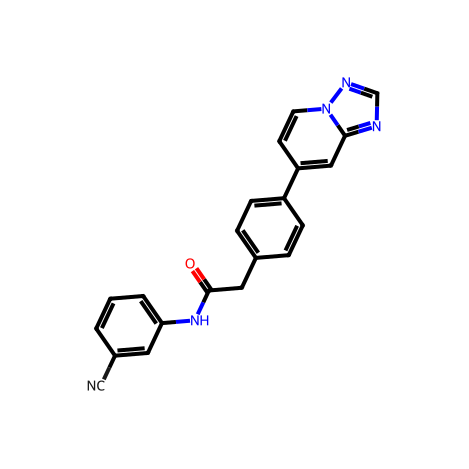 N#Cc1cccc(NC(=O)Cc2ccc(-c3ccn4ncnc4c3)cc2)c1